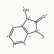 Cn1c(=O)n(O)c2ccncc21